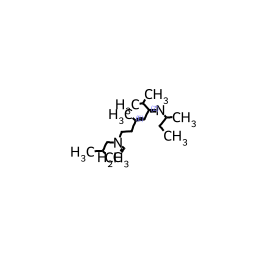 C=CN(CC/C(C)=C/C(=N\C(C)CC)C(C)C)CC(C)C